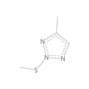 CSn1ncc(C)n1